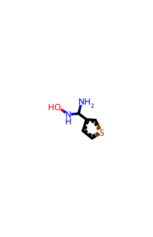 NC(NO)c1ccsc1